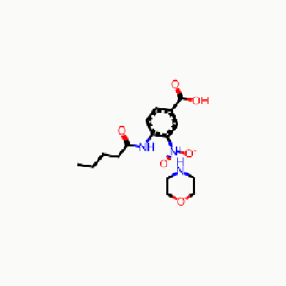 C1COCCN1.CCCCC(=O)Nc1ccc(C(=O)O)cc1[N+](=O)[O-]